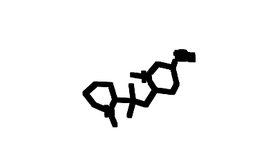 CN1CC(C(C)(C)C)CCC1CC(C)(C)C1CCCCN1C